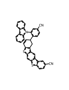 N#Cc1ccc(C2C=Cc3sc4cc5sc6ccc(C#N)cc6c5cc4c3C2)c(-n2c3ccccc3c3ccccc32)c1